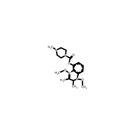 CON1c2cccc(OC(=O)N3CCN(C)CC3)c2[N+](OC)=C(C)C1C